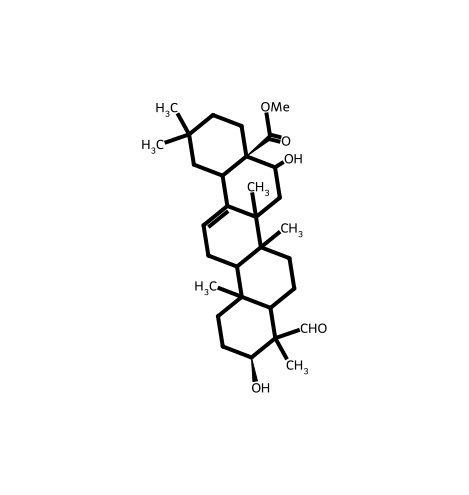 COC(=O)[C@]12CCC(C)(C)CC1C1=CCC3C4(C)CC[C@H](O)C(C)(C=O)C4CCC3(C)C1(C)CC2O